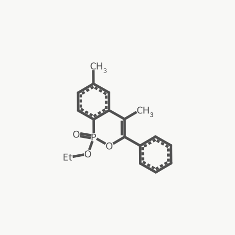 CCOP1(=O)OC(c2ccccc2)=C(C)c2cc(C)ccc21